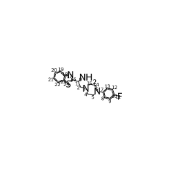 NC(CN1CCN(c2ccc(F)cc2)CC1)c1nc2ccccc2s1